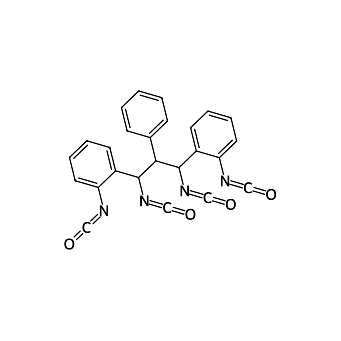 O=C=Nc1ccccc1C(N=C=O)C(c1ccccc1)C(N=C=O)c1ccccc1N=C=O